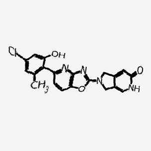 Cc1cc(Cl)cc(O)c1-c1ccc2oc(N3Cc4c[nH]c(=O)cc4C3)nc2n1